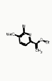 C=C(OCC)c1ccc(OC)c(Br)n1